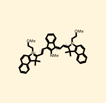 CNC1=C(/C=C/C2=[N+](CCOC)c3ccc4ccccc4c3C2(C)C)c2ccccc2/C1=C\C=C1\N(CCOC)c2ccc3ccccc3c2C1(C)C